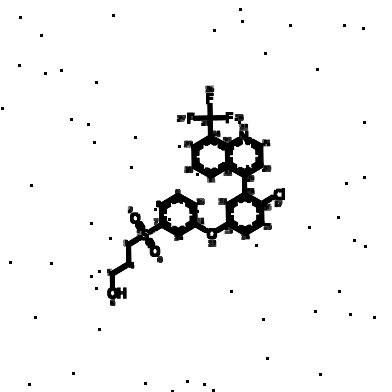 O=S(=O)(CCCO)c1cccc(Oc2ccc(Cl)c(-c3ccnc4c(C(F)(F)F)cccc34)c2)c1